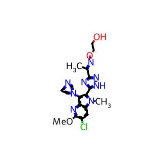 COc1nc2c(-n3ccnc3)c(-c3nc(/C(C)=N/OCCO)n[nH]3)n(C)c2cc1Cl